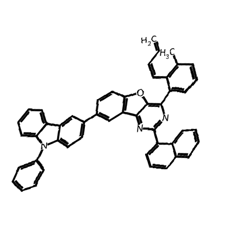 C=C/C=C\c1c(C)cccc1-c1nc(-c2cccc3ccccc23)nc2c1oc1ccc(-c3ccc4c(c3)c3ccccc3n4-c3ccccc3)cc12